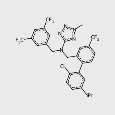 CC(C)c1ccc(Cl)c(-c2ccc(C(F)(F)F)cc2CN(Cc2cc(C(F)(F)F)cc(C(F)(F)F)c2)c2nnn(C)n2)c1